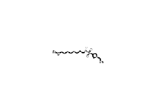 CCOCCCCCCCCNS(=O)(=O)C1CN(CC(C)C)C1